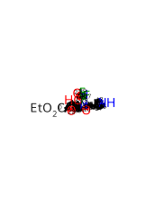 CCOC(=O)CC1CCc2cc(NC(=O)C=CC3CCNCC3)ccc2O1.O=C(O)C(F)(F)F